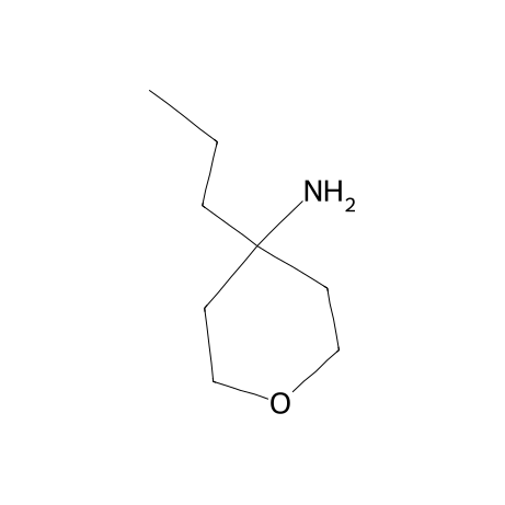 CCCC1(N)CCOCC1